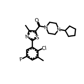 Cc1cc(F)cc(-c2nc(C)c(C(=O)N3CCN(C4CCCC4)CC3)s2)c1Cl